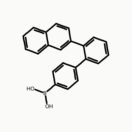 OB(O)c1ccc(-c2ccccc2-c2ccc3ccccc3c2)cc1